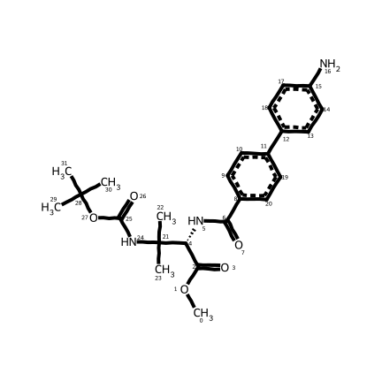 COC(=O)[C@@H](NC(=O)c1ccc(-c2ccc(N)cc2)cc1)C(C)(C)NC(=O)OC(C)(C)C